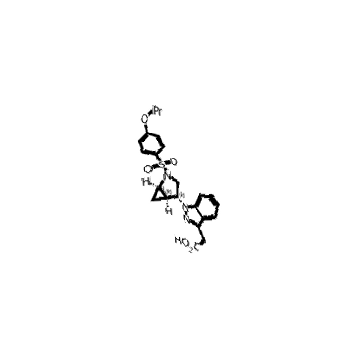 CC(C)Oc1ccc(S(=O)(=O)N2C[C@H](n3nc(CC(=O)O)c4ccccc43)[C@H]3C[C@H]32)cc1